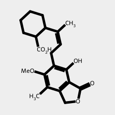 COc1c(C)c2c(c(O)c1CC=C(C)C1CCCCC1C(=O)O)C(=O)OC2